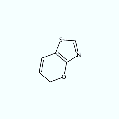 C1=Cc2scnc2OC1